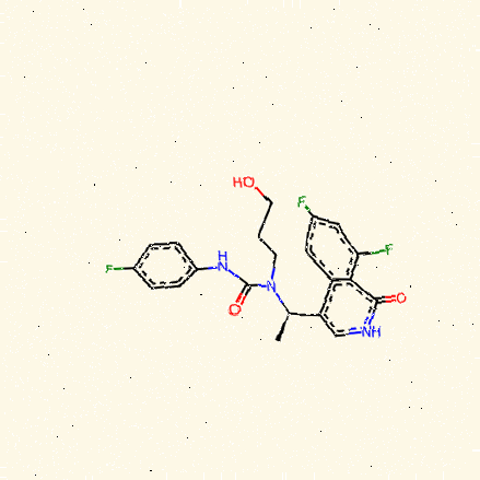 C[C@H](c1c[nH]c(=O)c2c(F)cc(F)cc12)N(CCCO)C(=O)Nc1ccc(F)cc1